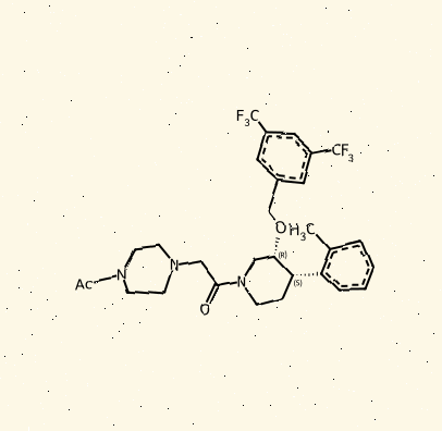 CC(=O)N1CCN(CC(=O)N2CC[C@@H](c3ccccc3C)[C@@H](OCc3cc(C(F)(F)F)cc(C(F)(F)F)c3)C2)CC1